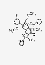 COCCO[C@@H](Cn1c(=O)n([C@@H](C)C(=O)N2CCCC2)c(=O)c2c(C)c(-n3cccn3)sc21)c1cc(F)ccc1OC